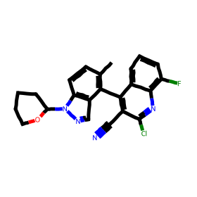 Cc1ccc2c(cnn2C2CCCCO2)c1-c1c(C#N)c(Cl)nc2c(F)cccc12